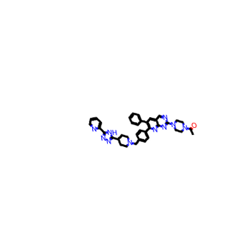 CC(=O)N1CCN(c2ncc3cc(-c4ccccc4)c(-c4ccc(CN5CCC(c6nnc(-c7ccccn7)[nH]6)CC5)cc4)nc3n2)CC1